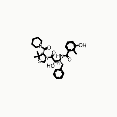 Cc1c(O)cccc1C(=O)N[C@@H](Cc1ccccc1)[C@H](O)C(=O)N1CSC(C)(C)[C@H]1C(=O)N1CCCCC1